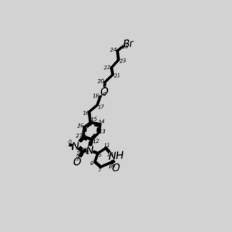 Cn1c(=O)n(C2CCC(=O)NC2)c2ccc(CCCOCCCCCBr)cc21